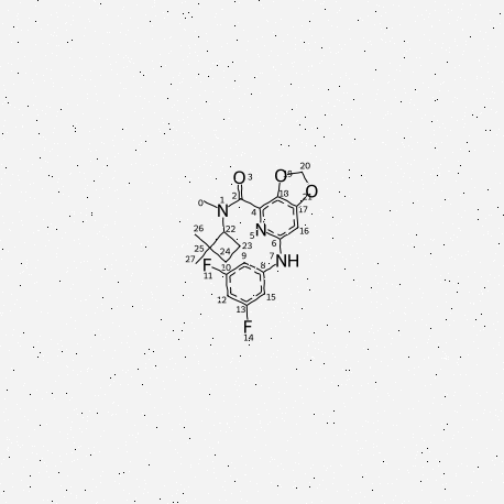 CN(C(=O)c1nc(Nc2cc(F)cc(F)c2)cc2c1OCO2)C1CCC1(C)C